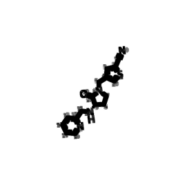 N#Cc1cc(CN2CC[C@H](NCc3ccccn3)C2=O)cs1